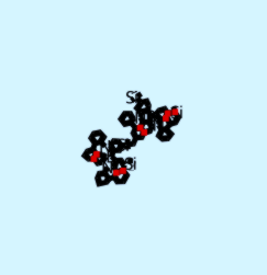 C[Si](C)(C)c1ccc2c(c1)B1c3cc([Si](C)(C)Cc4cccc(-c5ccccc5N5c6cc([Si](C)(C)C)ccc6B6c7ccc([Si](C)(C)C)cc7N(c7ccccc7-c7ccccc7)c7cccc5c76)c4)ccc3N(c3ccccc3-c3ccccc3)c3cccc(c31)N2c1ccccc1-c1ccccc1